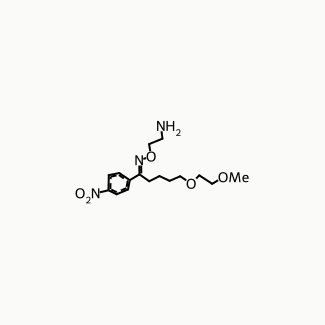 COCCOCCCCC(=NOCCN)c1ccc([N+](=O)[O-])cc1